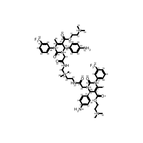 CC1=C(C(=O)OCCN(C)C)[C@@H](c2ccc(N)cc2)N(CC(=O)NCC[N+](C)(C)CNC(=O)CN2C(=O)N(c3cccc(C(F)(F)F)c3)C(C)=C(C(=O)OCCN(C)C)[C@H]2c2ccc(N)cc2)C(=O)N1c1cccc(C(F)(F)F)c1